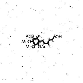 COc1c(OC(C)=O)c(C)c(CCC(C)CCCO)c(OC(C)=O)c1OC